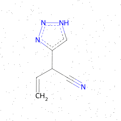 C=CC(C#N)c1c[nH]nn1